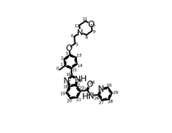 Cc1cc(OCCN2CCOCC2)ccc1-c1nc2cccc(C(=O)Nc3ccccn3)c2[nH]1